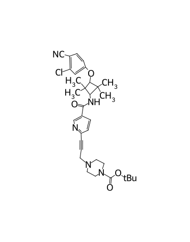 CC(C)(C)OC(=O)N1CCN(CC#Cc2ccc(C(=O)NC3C(C)(C)C(Oc4ccc(C#N)c(Cl)c4)C3(C)C)cn2)CC1